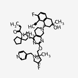 C#Cc1c(F)ccc2c1[C@H](N1CCc3c(nc(OC[C@]4(C)C[C@@H](F)CN4Cc4ccncc4)nc3NCC3(N(C)C(=O)C=C)CCCC3)C1)C[C@](C)(O)C2